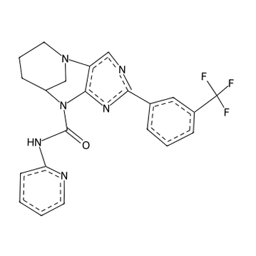 O=C(Nc1ccccn1)N1c2nc(-c3cccc(C(F)(F)F)c3)ncc2N2CCCC1C2